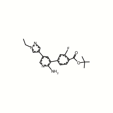 CCn1cc(-c2cnc(N)c(-c3ccc(C(=O)OC(C)(C)C)c(F)c3)c2)cn1